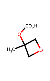 CC1(OC(=O)O)COC1